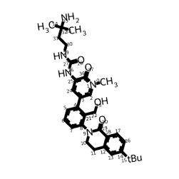 Cn1cc(-c2cccc(N3CCc4cc(C(C)(C)C)ccc4C3=O)c2CO)cc(NC(=O)NCCC(C)(C)N)c1=O